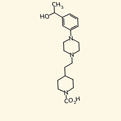 CC(O)c1cccc(N2CCN(CCC3CCN(C(=O)O)CC3)CC2)c1